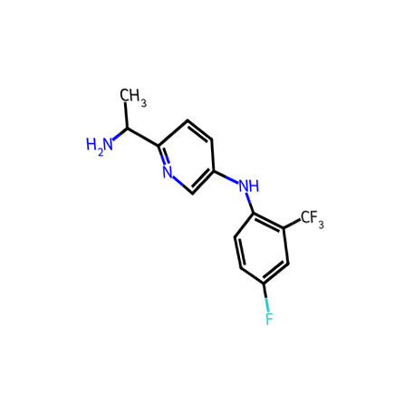 CC(N)c1ccc(Nc2ccc(F)cc2C(F)(F)F)cn1